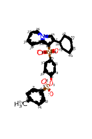 Cc1ccc(S(=O)(=O)Oc2ccc(S(=O)(=O)c3c(C4CCCCC4)cn4ccccc34)cc2)cc1